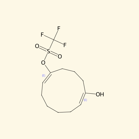 O=S(=O)(O/C1=C/CCCC/C=C(/O)CCC1)C(F)(F)F